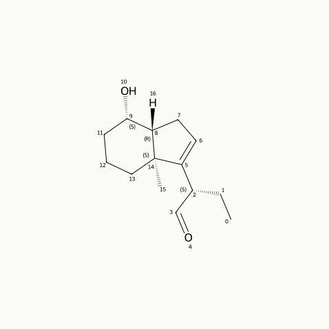 CC[C@H](C=O)C1=CC[C@H]2[C@@H](O)CCC[C@]12C